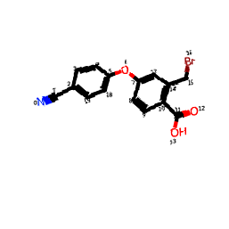 N#Cc1ccc(Oc2ccc(C(=O)O)c(CBr)c2)cc1